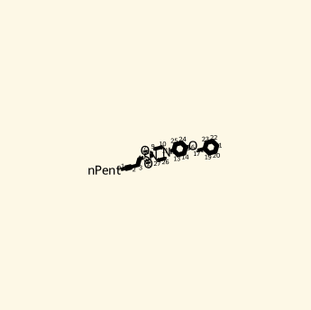 CCCCCC#C/C=C/S(=O)(=O)N1CCN(c2ccc(OCc3ccccc3)cc2)CC1